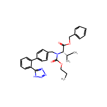 CCCOC(=O)N(Cc1ccc(-c2ccccc2-c2nnn[nH]2)cc1)[C@H](C(=O)OCc1ccccc1)C(C)C